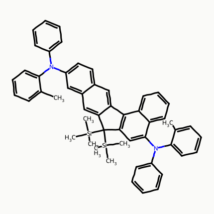 Cc1ccccc1N(c1ccccc1)c1ccc2cc3c(cc2c1)C([Si](C)(C)C)([Si](C)(C)C)c1cc(N(c2ccccc2)c2ccccc2C)c2ccccc2c1-3